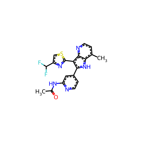 CC(=O)Nc1cc(-c2[nH]c3c(C)ccnc3c2-c2nc(C(F)F)cs2)ccn1